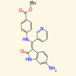 CC(C)(C)OC(=O)c1ccc(N/C(=C2\C(=O)Nc3cc(N)ccc32)c2cccnc2)cc1